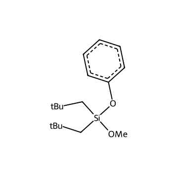 CO[Si](CC(C)(C)C)(CC(C)(C)C)Oc1ccccc1